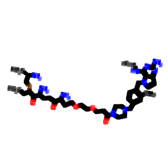 CCCCCNc1nc(N)nc2ccn(Cc3ccc(CN4CCN(C(=O)CCOCCOCCC(N)C(=O)CCC(N)C(=O)C(CC(=O)O)SC[C@H](N)C(=O)O)CC4)cc3OC)c12